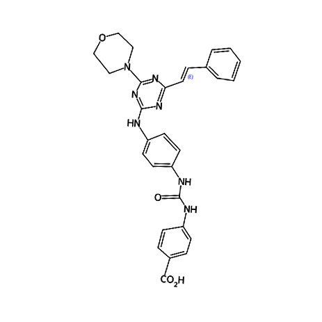 O=C(Nc1ccc(Nc2nc(/C=C/c3ccccc3)nc(N3CCOCC3)n2)cc1)Nc1ccc(C(=O)O)cc1